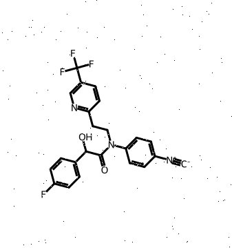 [C-]#[N+]c1ccc(N(CCc2ccc(C(F)(F)F)cn2)C(=O)C(O)c2ccc(F)cc2)cc1